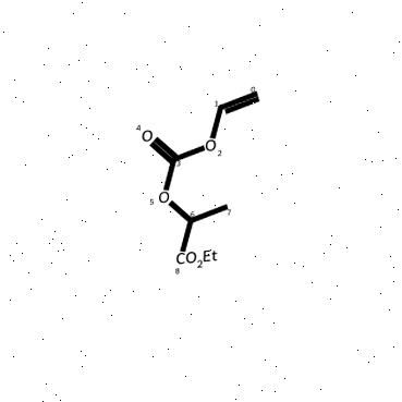 C=COC(=O)OC(C)C(=O)OCC